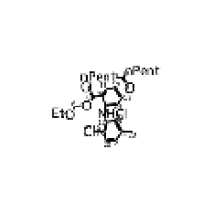 CCCCCC(=O)CCCCC.CCOCOC(=O)c1ccccc1Nc1c(Cl)ccc(C)c1Cl